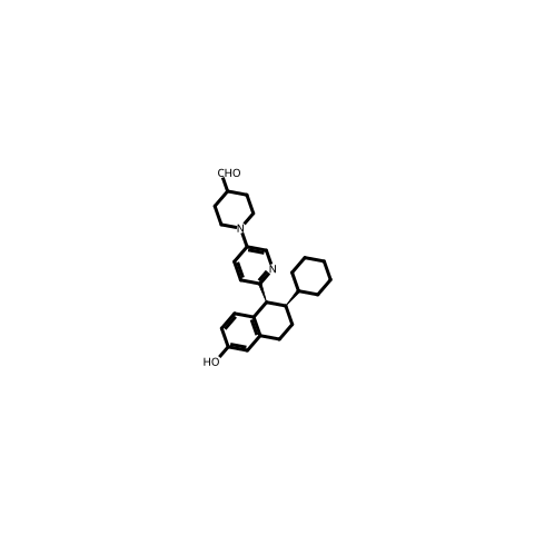 O=CC1CCN(c2ccc([C@@H]3c4ccc(O)cc4CC[C@@H]3C3CCCCC3)nc2)CC1